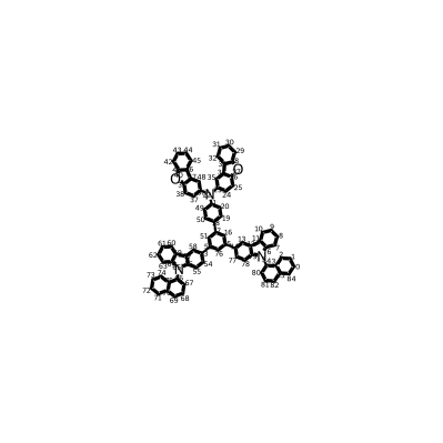 c1ccc2c(-n3c4ccccc4c4cc(-c5cc(-c6ccc(N(c7ccc8oc9ccccc9c8c7)c7ccc8oc9ccccc9c8c7)cc6)cc(-c6ccc7c(c6)c6ccccc6n7-c6cccc7ccccc67)c5)ccc43)cccc2c1